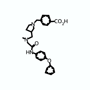 CN(CC(=O)Nc1ccc(Oc2ccccc2)cc1)CC1CCN(Cc2ccc(C(=O)O)cc2)C1